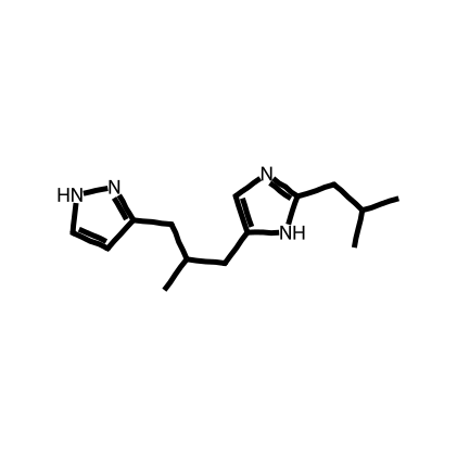 CC(C)Cc1ncc(CC(C)Cc2cc[nH]n2)[nH]1